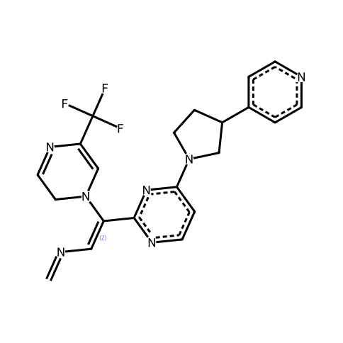 C=N/C=C(/c1nccc(N2CCC(c3ccncc3)C2)n1)N1C=C(C(F)(F)F)N=CC1